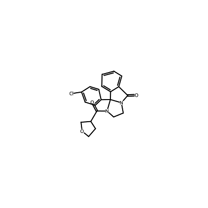 O=C1c2ccccc2C2(c3ccc(Cl)cc3)N1CCN2C(=O)C1CCOC1